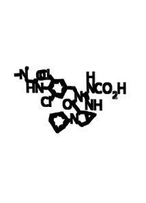 CN(C)CC(=O)Nc1c(Cl)cc(CN(C(=N)NC(=O)O)C(=O)C2C3CC3CN2c2ccccc2)cc1Cl